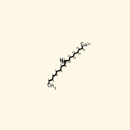 CCCCCCCCCCCCCCCC[CH2][Ga+2].[H-].[H-]